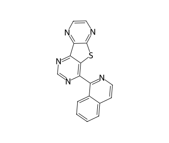 c1ccc2c(-c3ncnc4c3sc3nccnc34)nccc2c1